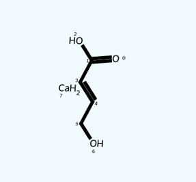 O=C(O)C=CCO.[CaH2]